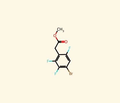 COC(=O)Cc1c(F)cc(Br)c(F)c1F